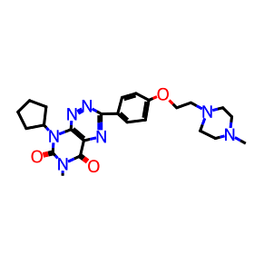 CN1CCN(CCOc2ccc(-c3nnc4c(n3)c(=O)n(C)c(=O)n4C3CCCC3)cc2)CC1